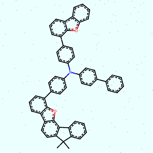 CC1(C)c2ccccc2-c2c1ccc1c2oc2c(-c3ccc(N(c4ccc(-c5ccccc5)cc4)c4ccc(-c5cccc6c5oc5ccccc56)cc4)cc3)cccc21